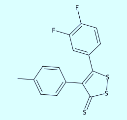 Cc1ccc(-c2c(-c3ccc(F)c(F)c3)ssc2=S)cc1